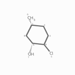 C[C@@H]1CCC(Cl)[C@H](O)C1